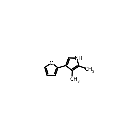 Cc1[nH]cc(-c2ccco2)c1C